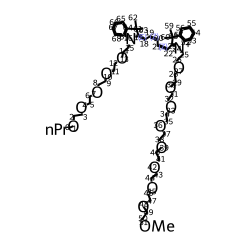 CCCOCCOCCOCCOCCOCCN1/C(=C/C=C\C=C/C2=[N+](CCOCCOCCOCCOCCOCCOCCOCCOCCOC)c3ccccc3C2(C)C)C(C)(C)c2ccccc21